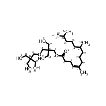 CC(=CCCC(=O)OCC(CO)(CO)COCC(CO)(CO)CO)CCCC(C)CCCC(C)C